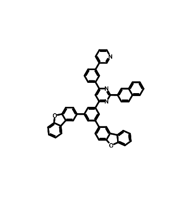 c1cncc(-c2cccc(-c3cc(-c4cc(-c5ccc6oc7ccccc7c6c5)cc(-c5ccc6oc7ccccc7c6c5)c4)nc(-c4ccc5ccccc5c4)n3)c2)c1